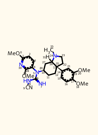 COc1ccc(N(C(=N)NC#N)[C@@H]2CC[C@@]3(c4ccc(OC)c(OC)c4)CCN(C)[C@H]3C2)c(OC)n1